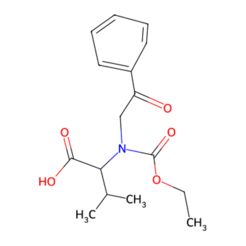 CCOC(=O)N(CC(=O)c1ccccc1)C(C(=O)O)C(C)C